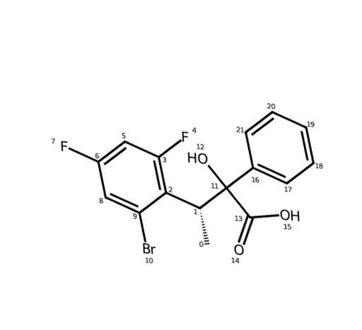 C[C@H](c1c(F)cc(F)cc1Br)C(O)(C(=O)O)c1ccccc1